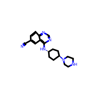 N#Cc1ccc2ncnc(N[C@H]3CC[C@H](N4CCNCC4)CC3)c2c1